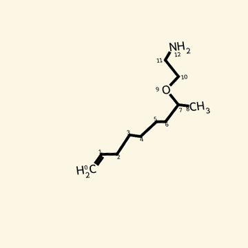 C=CCCCCCC(C)OCCN